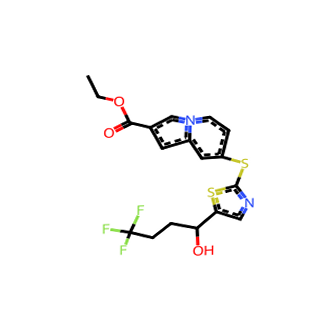 CCOC(=O)c1cc2cc(Sc3ncc(C(O)CCC(F)(F)F)s3)ccn2c1